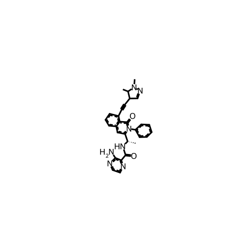 CC1C(C#Cc2cccc3cc([C@H](C)NC(=O)c4nccnc4N)n(-c4ccccc4)c(=O)c23)C=NN1C